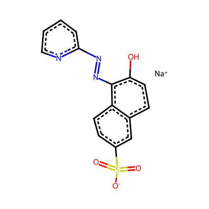 O=S(=O)([O-])c1ccc2c(N=Nc3ccccn3)c(O)ccc2c1.[Na+]